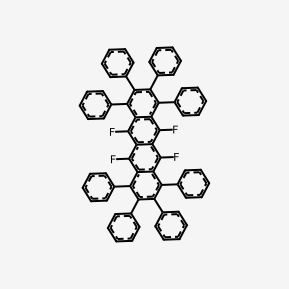 Fc1c2c(-c3ccccc3)c(-c3ccccc3)c(-c3ccccc3)c(-c3ccccc3)c2c(F)c2c(F)c3c(-c4ccccc4)c(-c4ccccc4)c(-c4ccccc4)c(-c4ccccc4)c3c(F)c12